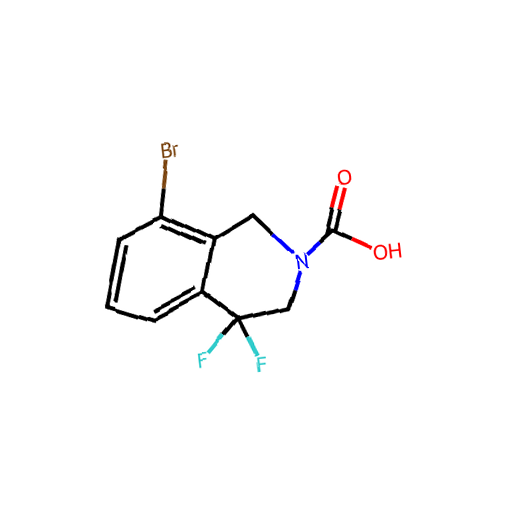 O=C(O)N1Cc2c(Br)cccc2C(F)(F)C1